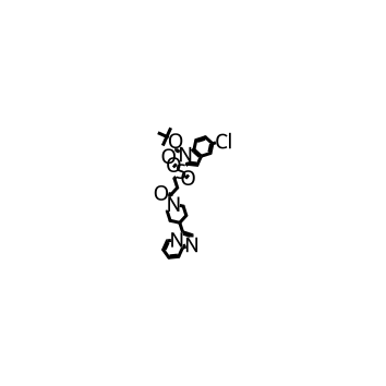 CC(C)(C)OC(=O)n1c(S(=O)(=O)CCC(=O)N2CCC(c3cnc4ccccn34)CC2)cc2cc(Cl)ccc21